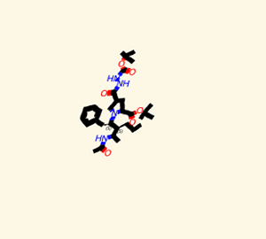 CCC[C@@H](C(C)NC(C)=O)[C@H](Cc1ccccc1)N1CC(C(=O)NNC(=O)OC(C)(C)C)CC1C(=O)OC(C)(C)C